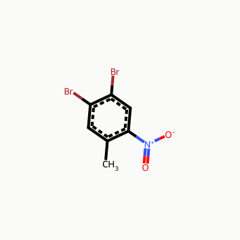 Cc1cc(Br)c(Br)cc1[N+](=O)[O-]